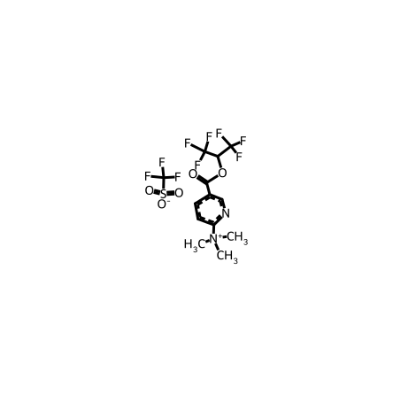 C[N+](C)(C)c1ccc(C(=O)OC(C(F)(F)F)C(F)(F)F)cn1.O=S(=O)([O-])C(F)(F)F